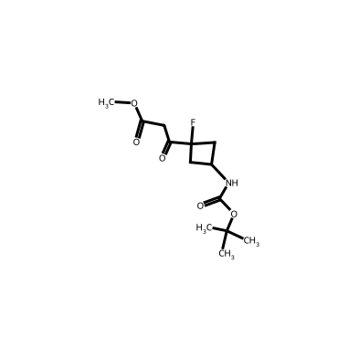 COC(=O)CC(=O)C1(F)CC(NC(=O)OC(C)(C)C)C1